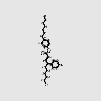 CCCCCCCc1ccc(OC(=O)/C=C/C(CCCCCC)c2ccccc2)nc1